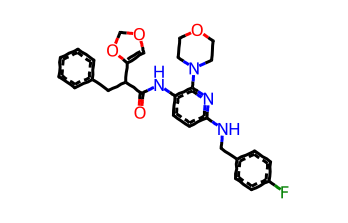 O=C(Nc1ccc(NCc2ccc(F)cc2)nc1N1CCOCC1)C(Cc1ccccc1)C1=COCO1